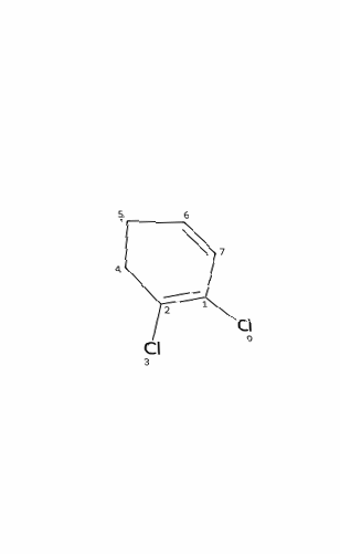 ClC1=C(Cl)C[CH]C=C1